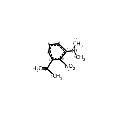 C=C(C)c1cccc(N(C)C)c1[N+](=O)[O-]